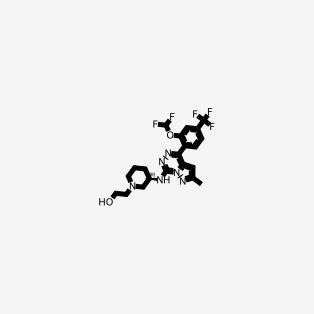 Cc1cc2c(-c3ccc(C(F)(F)F)cc3OC(F)F)nnc(N[C@@H]3CCCN(CCO)C3)n2n1